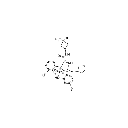 C[C@]1(O)C[C@@H](NC(=O)[C@@H]2N[C@@H](CC3CCCC3)[C@@]3(C(=O)Nc4cc(Cl)ccc43)[C@H]2c2cccc(Cl)c2F)C1